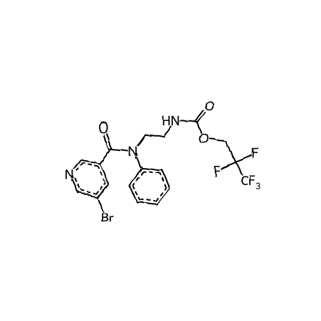 O=C(NCCN(C(=O)c1cncc(Br)c1)c1ccccc1)OCC(F)(F)C(F)(F)F